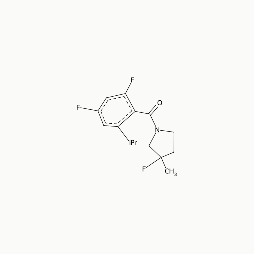 CC(C)c1cc(F)cc(F)c1C(=O)N1CCC(C)(F)C1